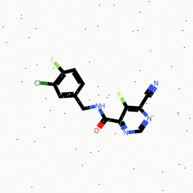 N#Cc1ncnc(C(=O)NCc2ccc(F)c(Cl)c2)c1F